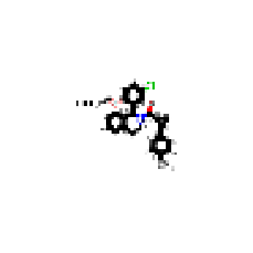 O=C(O)COc1ccc(Cl)cc1C1c2ccccc2CCN1C(=O)C1CC1c1ccc(C(F)(F)F)cc1